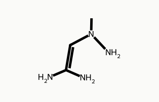 CN(N)C=C(N)N